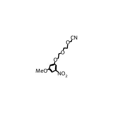 COc1cc(OCCOCCOCC#N)cc([N+](=O)[O-])c1